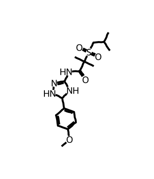 COc1ccc(C2NN=C(NC(=O)C(C)(C)S(=O)(=O)CC(C)C)N2)cc1